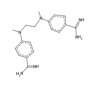 CN(CCN(C)c1ccc(C(=N)N)cc1)c1ccc(C(=N)N)cc1